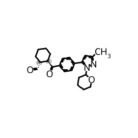 Cc1cc(-c2ccc(C(=O)[C@@H]3CCCC[C@H]3C=O)cc2)n(C2CCCCO2)n1